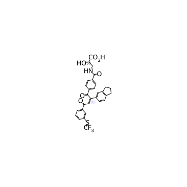 O=C(/C=C(\C(=O)c1ccc(C(=O)NC[C@@H](O)C(=O)O)cc1)c1ccc2c(c1)CCC2)c1cccc(SC(F)(F)F)c1